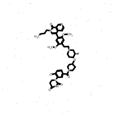 CCCCn1cc(-c2cc(OC)c(CCN3CC[C@@H](OC4CCN(C(=O)c5ccc(Cl)c(N6CCC(=O)NC6=O)c5)CC4)[C@H](F)C3)cc2OC)c2ccncc2c1=O